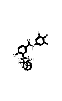 O=C(Nc1cc(F)c(F)c(F)c1)c1ccc(Cl)c(S(=O)(=O)[C@H]2CC3CC(C2)[C@]3(O)CO)c1